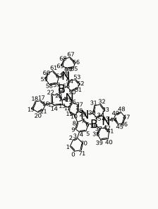 c1ccc(-c2cc3c4c(c2)c2cc5c6cc(-c7ccccc7)cc7c6n(c5cc2n4-c2cccc4c2B3c2ccccc2N4c2ccccc2)-c2cccc3c2B7c2ccccc2N3c2ccccc2)cc1